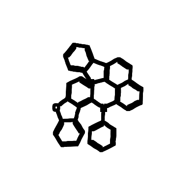 c1ccc(N(c2cccc3oc4ccccc4c23)c2cccc3ccc4c5ccccc5sc4c23)cc1